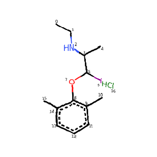 CCNC(C)C(I)Oc1c(C)cccc1C.Cl